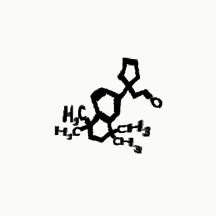 CC1(C)CCC(C)(C)c2cc(C3(CC=O)CCCC3)ccc21